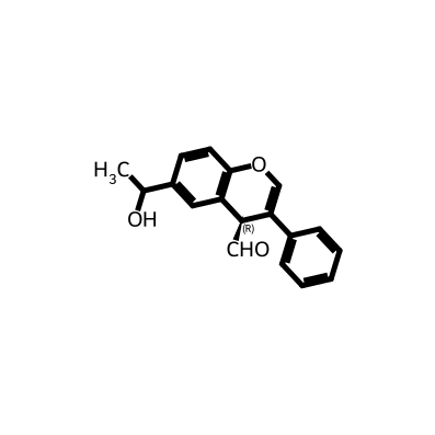 CC(O)c1ccc2c(c1)[C@H](C=O)C(c1ccccc1)=CO2